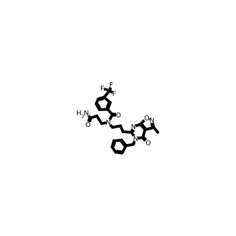 Cc1noc2nc(CCCN(CCC(N)=O)C(=O)c3cccc(C(F)(F)F)c3)n(Cc3ccccc3)c(=O)c12